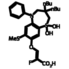 CCCCC1(CCCC)CN(c2ccccc2)c2cc(SC)c(OC=C(F)C(=O)O)cc2S(O)(O)C1